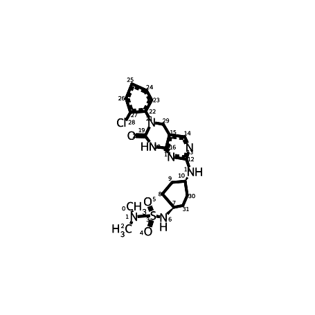 CN(C)S(=O)(=O)N[C@H]1CC[C@H](Nc2ncc3c(n2)NC(=O)N(c2ccccc2Cl)C3)CC1